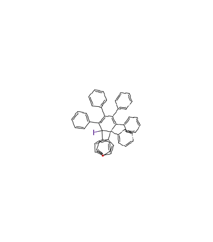 IC1(c2ccccc2)C(c2ccccc2)=C(c2ccccc2)C(c2ccccc2)=C(c2ccccc2)C1(c1ccccc1)c1ccccc1